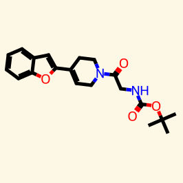 CC(C)(C)OC(=O)NCC(=O)N1CC=C(c2cc3ccccc3o2)CC1